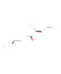 C=CCOC(=O)/C(C#N)=C/CC(C)C